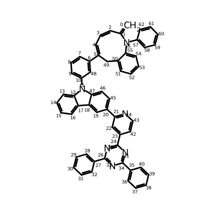 C=C1/C=C\C=C(\c2cccc(-n3c4ccccc4c4cc(-c5cc(-c6nc(-c7ccccc7)nc(-c7ccccc7)n6)ccn5)ccc43)c2)Cc2ccccc2N1c1ccccc1